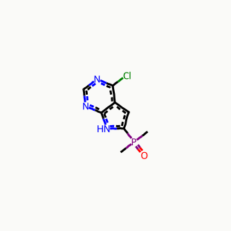 CP(C)(=O)c1cc2c(Cl)ncnc2[nH]1